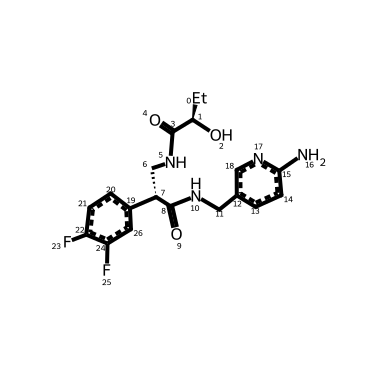 CC[C@@H](O)C(=O)NC[C@H](C(=O)NCc1ccc(N)nc1)c1ccc(F)c(F)c1